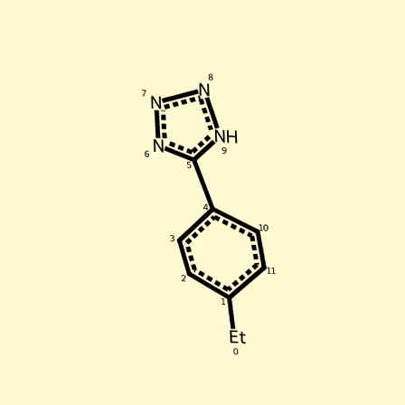 [CH2]Cc1ccc(-c2nnn[nH]2)cc1